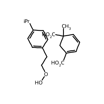 CC(C)c1ccc(CCOO)cc1.CC1(C(=O)O)C=CC=C(C(=O)O)C1